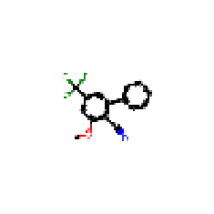 COc1cc(C(F)(F)F)cc(-c2ccccc2)c1C#N